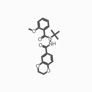 COc1ccccc1C(=O)N(NC(=O)c1ccc2c(c1)OCCO2)C(C)(C)C